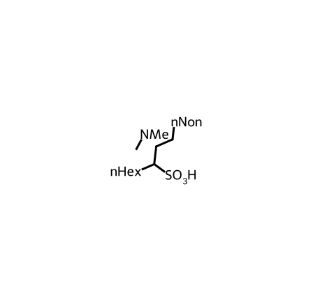 CCCCCCCCCCCC(CCCCCC)S(=O)(=O)O.CNC